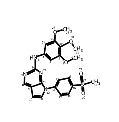 COc1cc(Nc2ncc3ccn(-c4ccc(S(C)(=O)=O)cc4)c3n2)cc(OC)c1OC